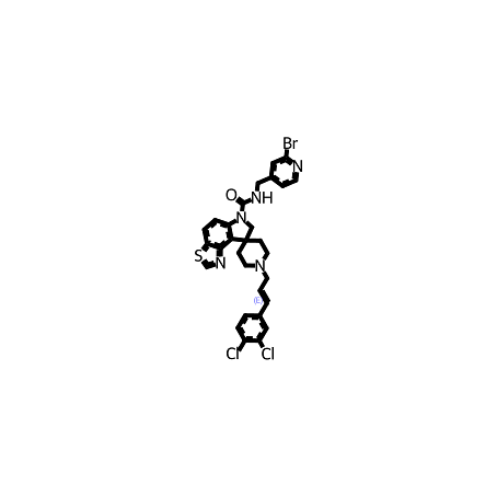 O=C(NCc1ccnc(Br)c1)N1CC2(CCN(C/C=C/c3ccc(Cl)c(Cl)c3)CC2)c2c1ccc1scnc21